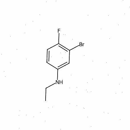 CCNc1ccc(F)c(Br)c1